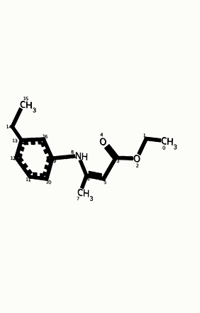 CCOC(=O)/C=C(/C)Nc1cccc(CC)c1